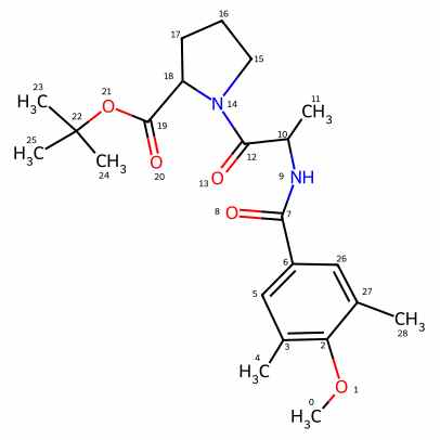 COc1c(C)cc(C(=O)NC(C)C(=O)N2CCCC2C(=O)OC(C)(C)C)cc1C